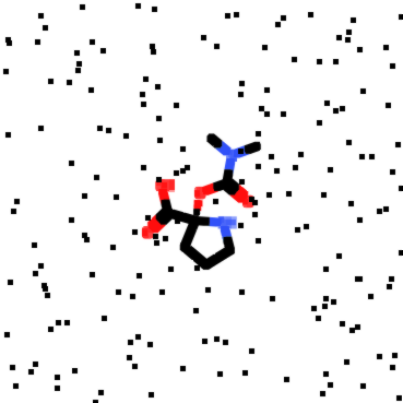 CN(C)C(=O)O[C@@]1(C(=O)O)CCCN1